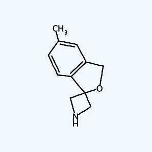 Cc1ccc2c(c1)COC21CNC1